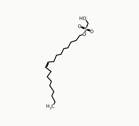 CCCCCCCC/C=C\CCCCCCCCOS(=O)(=O)CO